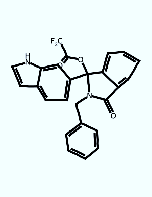 O=C1c2ccccc2C(OC(=O)C(F)(F)F)(c2ccc3cc[nH]c3c2)N1Cc1ccccc1